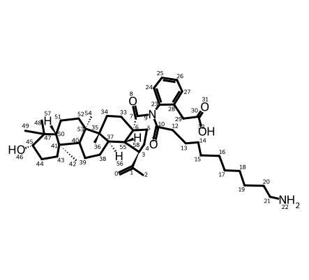 C=C(C)[C@@H]1CC[C@]2(C(=O)N(C(=O)CCCCCCCCCCN)c3ccccc3CC(=O)O)CC[C@]3(C)[C@H](CCC4[C@@]5(C)CC[C@H](O)C(C)(C)[C@@H]5CC[C@]43C)[C@@H]12